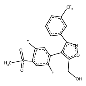 CS(=O)(=O)c1cc(F)c(-c2c(-c3cccc(C(F)(F)F)c3)noc2CO)cc1F